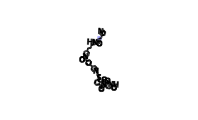 O=C(/C=C/c1cccnc1)NCCCCC1CCN(C(=O)c2ccc(C3CCN(CCSc4cccc5c4C(=O)N(C4CCC(=O)NC4=O)C5=O)CC3)cc2)CC1